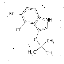 CC(C)(C)Oc1c[nH]c2ccc(Br)c(Cl)c12